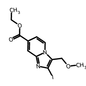 CCOC(=O)c1ccn2c(COC)c(I)nc2c1